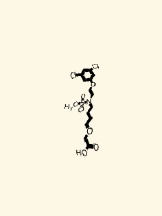 CS(=O)(=O)N(CCCCOCC(=O)O)CCOc1cc(Cl)cc(Cl)c1